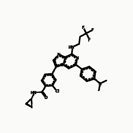 CN(C)c1ccc(-c2cn3c(-c4ccc(C(=O)NC5CC5)c(Cl)c4)cnc3c(NCCC(F)(F)F)n2)cc1